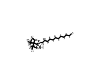 CCCCCCCCCCCCSC(O)C(CC)(C(C)(C)C)C(C)(C)C